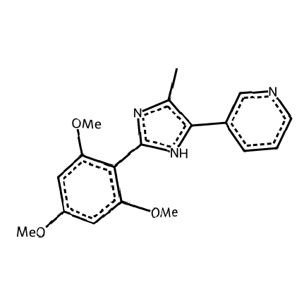 COc1cc(OC)c(-c2nc(C)c(-c3cccnc3)[nH]2)c(OC)c1